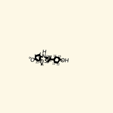 COc1ccc(Nc2nc(-c3ccc(O)cc3)cs2)c(OC)c1